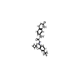 O=C(/C=C1\CC2(CCC2)Oc2cc(C(F)(F)F)ccc21)Nc1ccc2c(c1)NC(=O)CC2